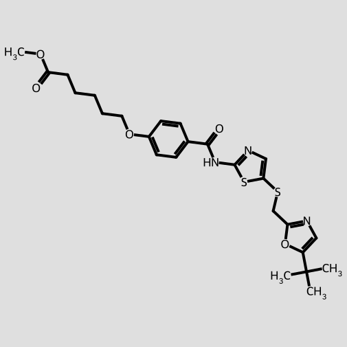 COC(=O)CCCCCOc1ccc(C(=O)Nc2ncc(SCc3ncc(C(C)(C)C)o3)s2)cc1